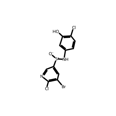 [O-][S+](Nc1ccc(Cl)c(O)c1)c1cnc(Cl)c(Br)c1